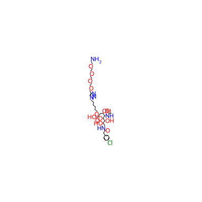 CC(=O)N[C@H]1[C@H]([C@H](O)[C@H](O)CNC(=O)Cc2ccc(Cl)cc2)O[C@@](OCCCCCCn2cc(COCCOCCOCCOCCN)nn2)(C(=O)O)C[C@@H]1O